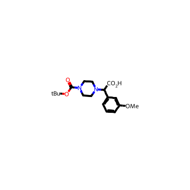 COc1cccc(C(C(=O)O)N2CCN(C(=O)OC(C)(C)C)CC2)c1